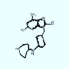 CCc1nc2c(C)cc(C)nc2n1Cc1ccc(NC2CCNCC2)cc1